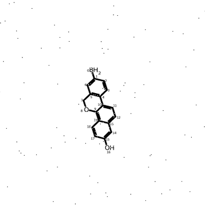 Bc1ccc2c(c1)COc1c-2ccc2cc(O)ccc12